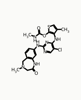 CNC(=O)Oc1scc(C)c1Nc1nc(Nc2ccc3c(c2)NC(=O)CN(C)C3)ncc1Cl